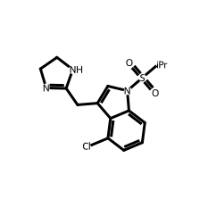 CC(C)S(=O)(=O)n1cc(CC2=NCCN2)c2c(Cl)cccc21